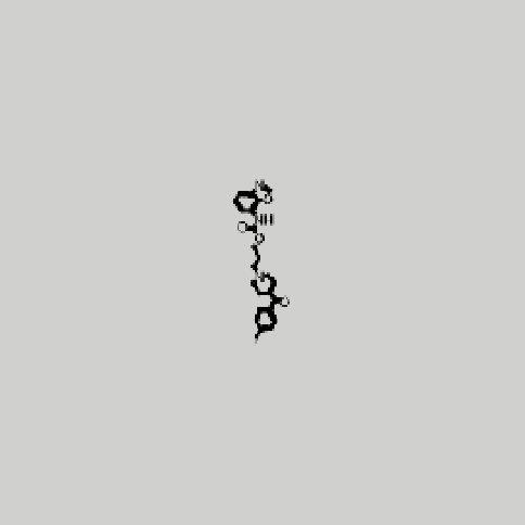 O=C(Nc1cccc2ncoc12)OCCCN1CCC(C(=O)c2ccc(I)cc2)CC1